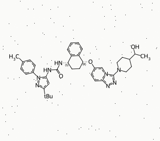 Cc1ccc(-n2nc(C(C)(C)C)cc2NC(=O)N[C@H]2CC[C@@H](Oc3ccc4nnc(N5CCC(C(C)O)CC5)n4c3)c3ccccc32)cc1